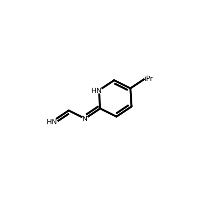 CC(C)c1cc/c(=N/C=N)[nH]c1